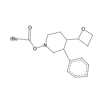 CC(C)(C)C(=O)ON1CCC(C2CCO2)C(c2ccccc2)C1